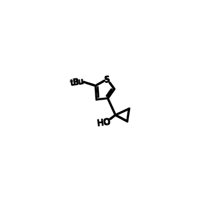 CC(C)(C)c1cc(C2(O)CC2)cs1